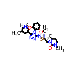 COc1cccc(OC)c1-n1c(NSCCN2C(=O)N(C)CCC2C)nnc1-c1cncc(C)c1